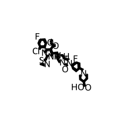 COC(=O)C1=C(CN2CCN3C(=O)N(c4ccc(CN5CCC(C(=O)O)CC5)cc4F)C[C@@H]3C2)NC(c2nccs2)=N[C@H]1c1ccc(F)cc1Cl